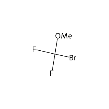 COC(F)(F)Br